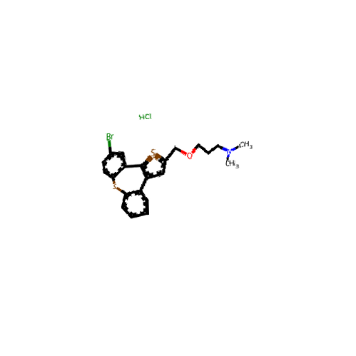 CN(C)CCCOCc1cc2c(s1)-c1cc(Br)ccc1Sc1ccccc1-2.Cl